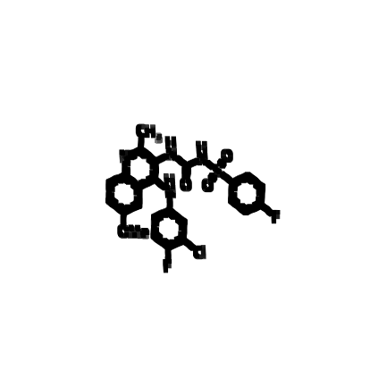 COc1ccc2nc(C)c(NC(=O)NS(=O)(=O)c3ccc(F)cc3)c(Nc3ccc(F)c(Cl)c3)c2c1